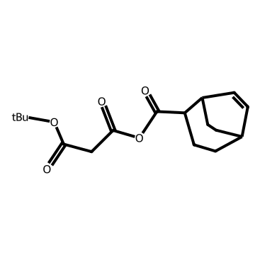 CC(C)(C)OC(=O)CC(=O)OC(=O)C1CCC2C=CC1CC2